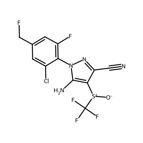 N#Cc1nn(-c2c(F)cc(CF)cc2Cl)c(N)c1[S+]([O-])C(F)(F)F